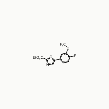 CCOC(=O)c1ncc(-c2ccc(F)c(OC(F)(F)F)c2)o1